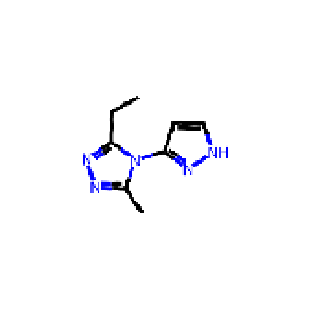 CCc1nnc(C)n1-c1cc[nH]n1